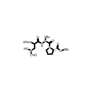 CCCCCC(CN(O)C=O)C(=O)NN(CCCC)C(=O)N1CCC[C@H]1C(=O)OC(C)(C)C